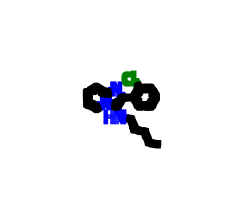 CCCCCNc1c(-c2ccccc2Cl)nc2ccccn12